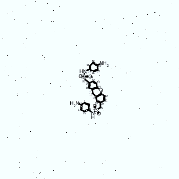 Nc1ccc(NS(=O)(=O)Cc2ccc3c(c2)Cc2cc(CS(=O)(=O)Nc4ccc(N)cc4)ccc2O3)cc1